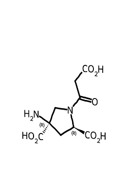 N[C@]1(C(=O)O)C[C@H](C(=O)O)N(C(=O)CC(=O)O)C1